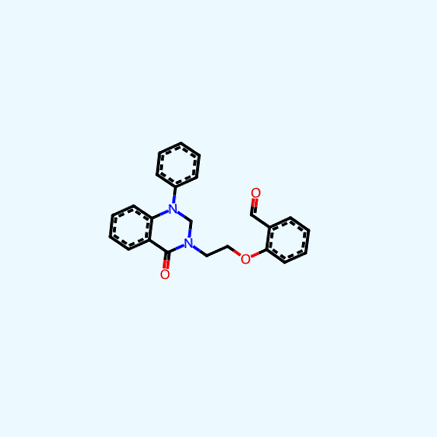 O=Cc1ccccc1OCCN1CN(c2ccccc2)c2ccccc2C1=O